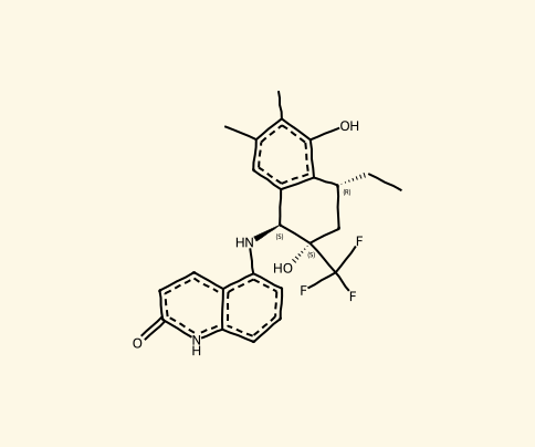 CC[C@@H]1C[C@@](O)(C(F)(F)F)[C@@H](Nc2cccc3[nH]c(=O)ccc23)c2cc(C)c(C)c(O)c21